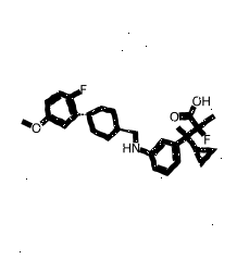 COc1ccc(F)c([C@H]2CC[C@H](CNc3cccc(C(C)(C4CC4)C(C)(F)C(=O)O)c3)CC2)c1